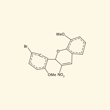 COc1ccc(Br)cc1C1Oc2c(cccc2OC)C=C1[N+](=O)[O-]